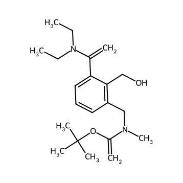 C=C(OC(C)(C)C)N(C)Cc1cccc(C(=C)N(CC)CC)c1CO